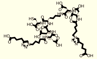 O=C(O)CCCc1cn(CCCCC(=O)N[C@@H](CC(=O)O)C(=O)N[C@@H](CC(=O)O)C(=O)NCCCC[C@H](NC(=O)[C@H](CC(=O)O)NC(=O)[C@H](CC(=O)O)NC(=O)CCCCn2cc(CCCC(=O)O)nn2)C(=O)N[C@@H](CS)C(=O)O)nn1